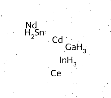 [Cd].[Ce].[GaH3].[InH3].[Nd].[SnH2]